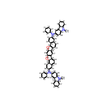 CCn1c2ccccc2c2cc(N(c3ccccc3)c3ccc4c(ccc5c6cc7c(cc6oc45)oc4c5ccc(N(c6ccccc6)c6ccc8c(c6)c6ccccc6n8CC)cc5ccc74)c3)ccc21